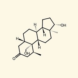 C[C@H]1CC(=O)C[C@@H]2CC[C@H]3[C@@H]4CC[C@H](O)[C@@]4(C)CC[C@@H]3[C@]21CO